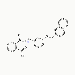 O=C(O)c1ccccc1C(=O)/C=C/c1cccc(OCc2ccc3ccccc3n2)c1